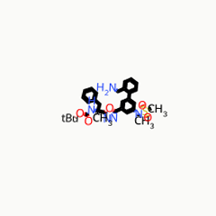 CN(c1cc(-c2nnc([C@](C)(Cc3ccccc3)NC(=O)OC(C)(C)C)o2)cc(-c2ccccc2CN)c1)S(C)(=O)=O